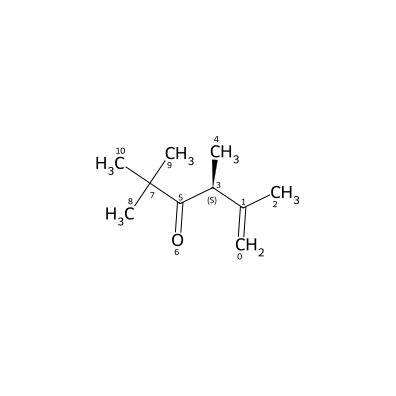 C=C(C)[C@H](C)C(=O)C(C)(C)C